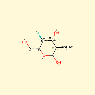 CC(=O)N[C@H]1C(O)OC(CO)[C@@H](F)[C@@H]1O